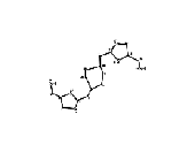 SCC1CSC(CC2CCC(CC3SCC(CS)S3)CC2)S1